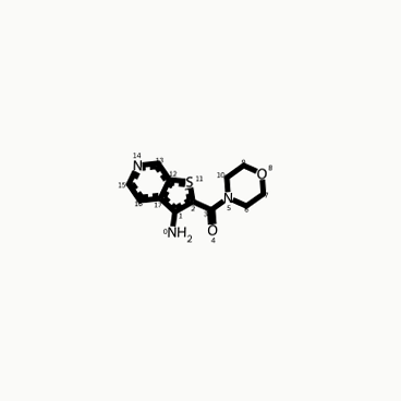 Nc1c(C(=O)N2CCOCC2)sc2cnccc12